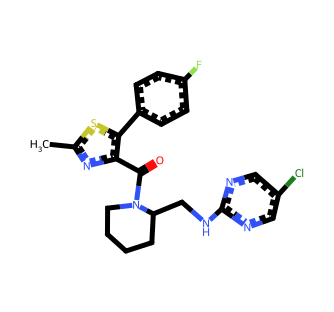 Cc1nc(C(=O)N2CCCCC2CNc2ncc(Cl)cn2)c(-c2ccc(F)cc2)s1